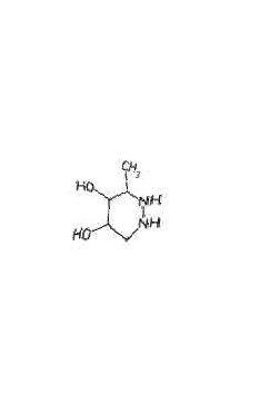 CC1NNCC(O)C1O